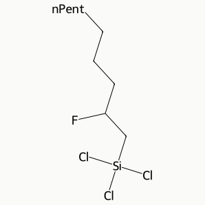 CCCCCCCCC(F)C[Si](Cl)(Cl)Cl